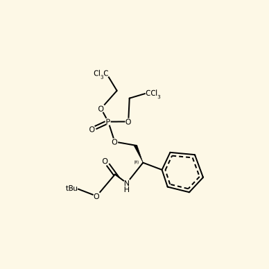 CC(C)(C)OC(=O)N[C@@H](COP(=O)(OCC(Cl)(Cl)Cl)OCC(Cl)(Cl)Cl)c1ccccc1